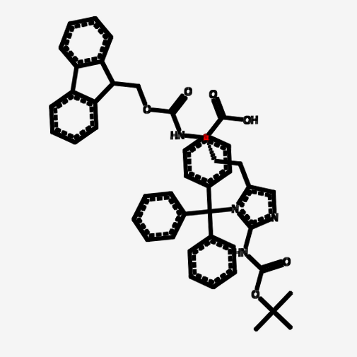 CC(C)(C)OC(=O)Nc1ncc(CC[C@H](NC(=O)OCC2c3ccccc3-c3ccccc32)C(=O)O)n1C(c1ccccc1)(c1ccccc1)c1ccccc1